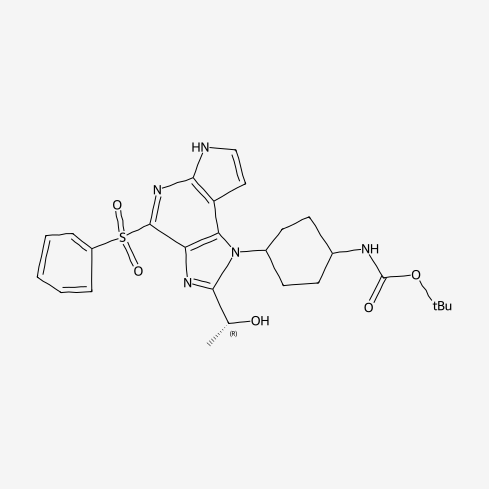 C[C@@H](O)c1nc2c(S(=O)(=O)c3ccccc3)nc3[nH]ccc3c2n1C1CCC(NC(=O)OC(C)(C)C)CC1